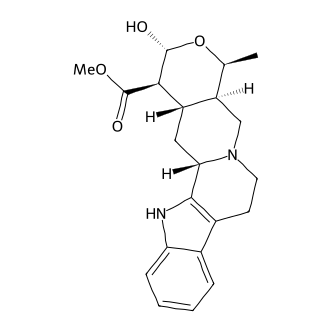 COC(=O)[C@@H]1[C@H]2C[C@H]3c4[nH]c5ccccc5c4CCN3C[C@@H]2[C@H](C)O[C@H]1O